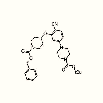 CC(C)(C)OC(=O)N1CCN(c2ccc(C#N)c(OC3CCN(C(=O)OCc4ccccc4)CC3)c2)CC1